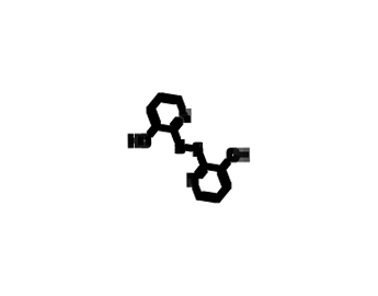 Oc1cccnc1SSc1ncccc1O